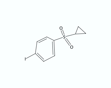 O=S(=O)(c1ccc(I)cc1)C1CC1